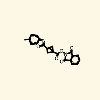 Cc1ccc2nc(C34CC(C(=O)ON5C(=O)c6ccccc6C5=O)(C3)C4)oc2c1